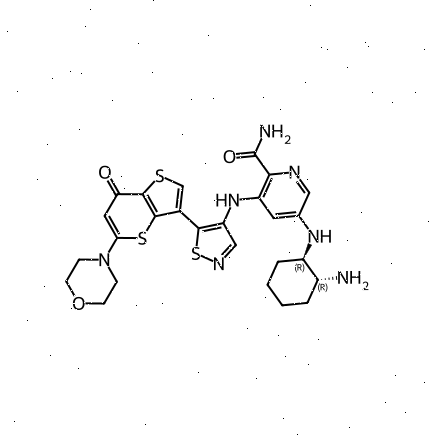 NC(=O)c1ncc(N[C@@H]2CCCC[C@H]2N)cc1Nc1cnsc1-c1csc2c(=O)cc(N3CCOCC3)sc12